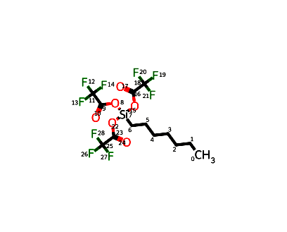 CCCCCCC[Si](OC(=O)C(F)(F)F)(OC(=O)C(F)(F)F)OC(=O)C(F)(F)F